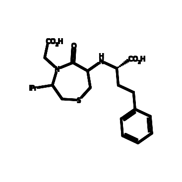 CC(C)C1CSCC(N[C@@H](CCc2ccccc2)C(=O)O)C(=O)N1CC(=O)O